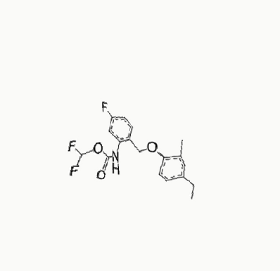 CCc1ccc(OCc2ccc(F)cc2NC(=O)OC(F)F)c(C)c1